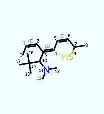 C\C=C/C(=C\C=C/C(C)S)C(N(C)C)C(C)(C)C